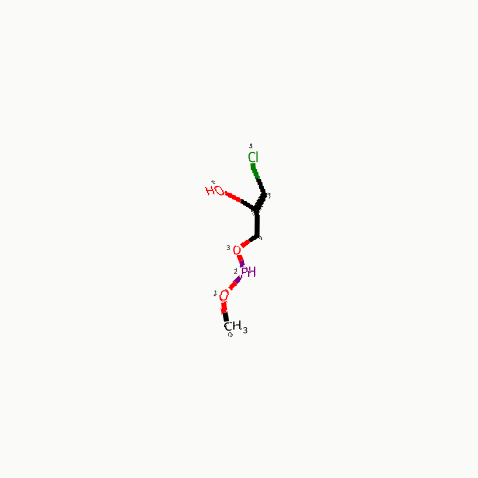 COPOCC(O)CCl